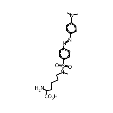 CN(C)c1ccc(N=Nc2ccc(S(=O)(=O)N(C)CCCC[C@H](N)C(=O)O)cc2)cc1